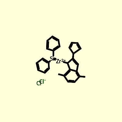 Cc1ccc(C)c2c1C=C(C1C=CC=C1)[CH]2[Zr+2]=[Si](c1ccccc1)c1ccccc1.[Cl-].[Cl-]